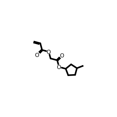 C=CC(=O)OCC(=O)OC1CCC(C)C1